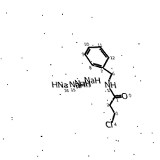 O=C(CCCl)NCc1ccccc1.[NaH].[NaH].[NaH].[NaH]